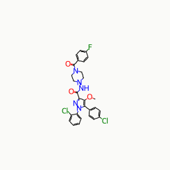 COc1c(C(=O)NN2CCN(C(=O)c3ccc(F)cc3)CC2)nn(-c2ccccc2Cl)c1-c1ccc(Cl)cc1